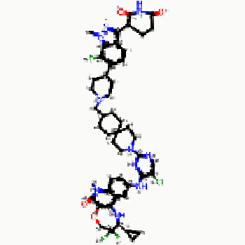 Cn1nc(C2CCC(=O)NC2=O)c2ccc(C3CCN(CC4CCC5(CC4)CCN(c4ncc(Cl)c(Nc6ccc7c(c6)c6c(c(=O)n7C)OCC(F)(F)[C@H](C7CC7)N6)n4)CC5)CC3)c(F)c21